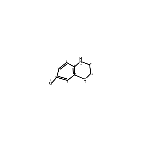 Clc1ccc2c(c1)OCCN2